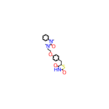 CN(CCOc1ccc(CC2SC(=O)NC2=O)cc1)C(=O)N(C)c1ccccc1